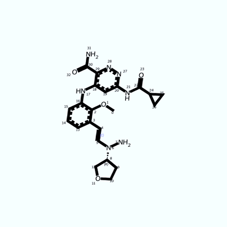 COc1c(/C=C/N(N)[C@@H]2CCOC2)cccc1Nc1cc(NC(=O)C2CC2)nnc1C(N)=O